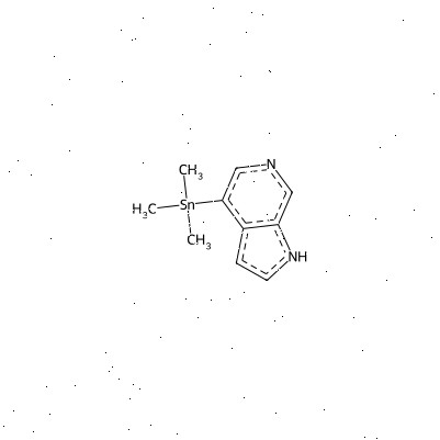 [CH3][Sn]([CH3])([CH3])[c]1cncc2[nH]ccc12